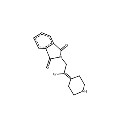 O=C1c2ccccc2C(=O)N1CC(Br)=C1CCNCC1